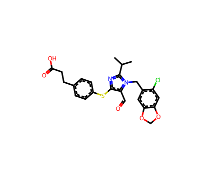 CC(C)c1nc(Sc2ccc(CCC(=O)O)cc2)c(C=O)n1Cc1cc2c(cc1Cl)OCO2